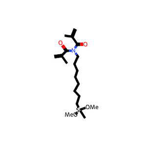 C=C(C)C(=O)N(CCCCCCCC[Si](C)(OC)OC)C(=O)C(=C)C